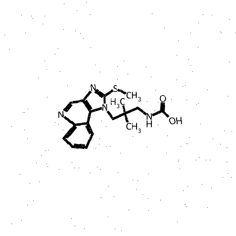 CSc1nc2cnc3ccccc3c2n1CC(C)(C)CNC(=O)O